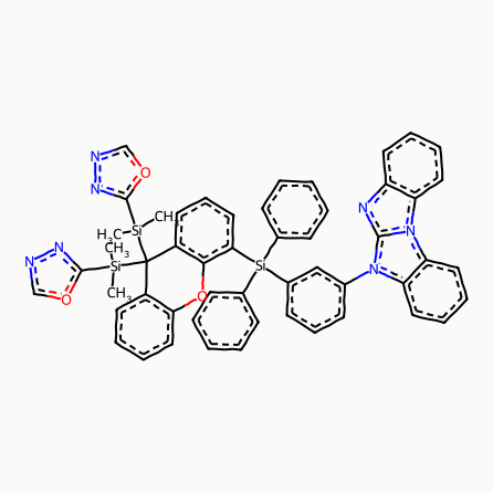 C[Si](C)(c1nnco1)C1([Si](C)(C)c2nnco2)c2ccccc2Oc2c1cccc2[Si](c1ccccc1)(c1ccccc1)c1cccc(-n2c3ccccc3n3c4ccccc4nc23)c1